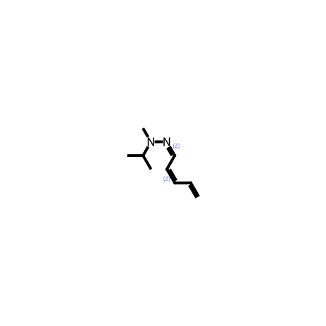 C=C/C=C\C=N/N(C)C(C)C